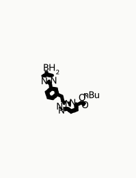 Bc1cnc(-c2cccc(Cc3nnc4ccc(C(=O)OCCCC)nn34)c2)nc1